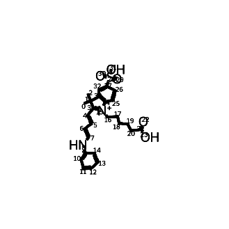 CC1(C)C(/C=C/C=C/Nc2ccccc2)=[N+](CCCCCC(=O)O)c2ccc(S(=O)(=O)O)cc21